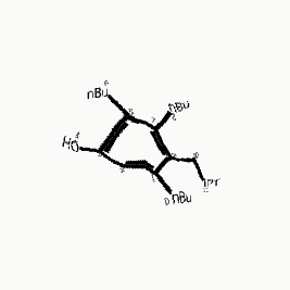 CCCCc1cc(O)c(CCCC)c(CCCC)c1CC(C)C